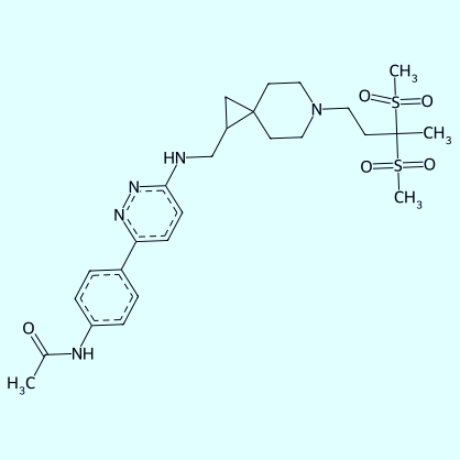 CC(=O)Nc1ccc(-c2ccc(NCC3CC34CCN(CCC(C)(S(C)(=O)=O)S(C)(=O)=O)CC4)nn2)cc1